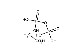 CC(=O)O.O=P(O)(O)OP(=O)(O)O